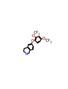 FC(F)(F)Oc1ccc(Oc2ccc3c(c2)CC[N]C3)c(OC(F)(F)F)c1